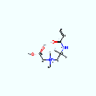 C=CC(=O)NC(C)(C)C[N+](C)(C)CC(=O)[O-]